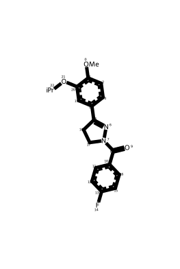 COc1ccc(C2=NN(C(=O)c3ccc(F)cc3)CC2)cc1OC(C)C